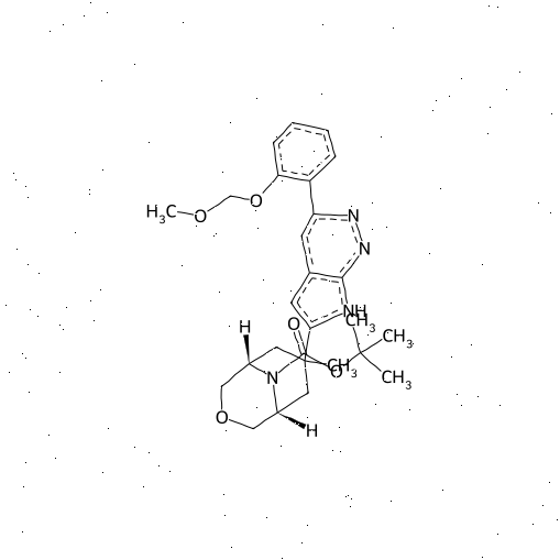 COCOc1ccccc1-c1cc2cc(C3(C)C[C@H]4COC[C@@H](C3)N4C(=O)OC(C)(C)C)[nH]c2nn1